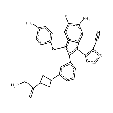 COC(=O)C1CN(c2cccc(-c3c(-c4ccsc4C#N)c4cc(P)c(F)cc4n3Sc3ccc(C)cc3)c2)C1